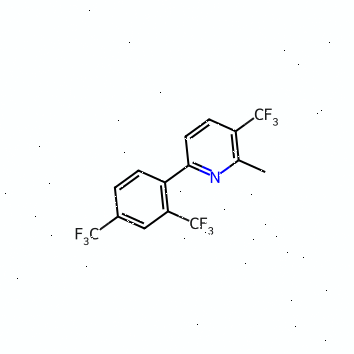 Cc1nc(-c2ccc(C(F)(F)F)cc2C(F)(F)F)ccc1C(F)(F)F